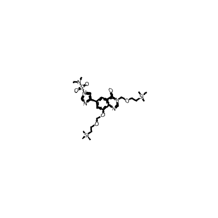 CN(C)S(=O)(=O)n1cnc(-c2cc(OCOCC[Si](C)(C)C)c3ncn(COCC[Si](C)(C)C)c(=O)c3c2)c1